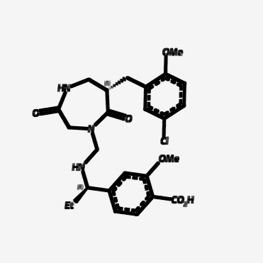 CC[C@@H](NCN1CC(=O)NC[C@H](Cc2cc(Cl)ccc2OC)C1=O)c1ccc(C(=O)O)c(OC)c1